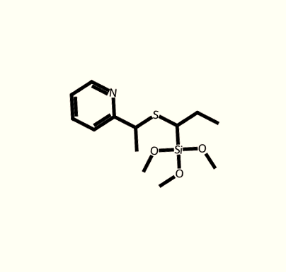 CCC(SC(C)c1ccccn1)[Si](OC)(OC)OC